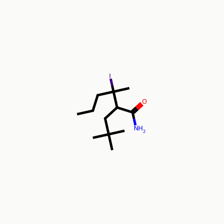 CCCC(C)(I)C(CC(C)(C)C)C(N)=O